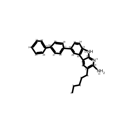 CCCCCc1cc2c(nc1N)[nH]c1ccc(-c3ccc(-c4ccccc4)cc3)cc12